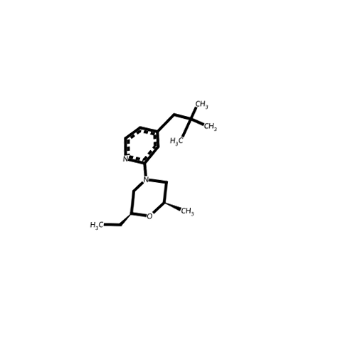 CC[C@H]1CN(c2cc(CC(C)(C)C)ccn2)C[C@@H](C)O1